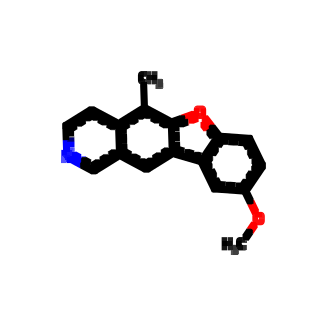 COc1ccc2oc3c(C)c4ccncc4cc3c2c1